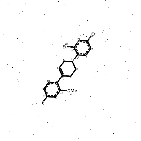 CCc1ccc([C@@H]2CC=C(c3ccc(C)cc3OC)CC2)c(CC)c1